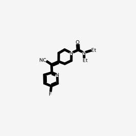 CCN(CC)C(=O)N1CCC(=C(C#N)c2ccc(F)cn2)CC1